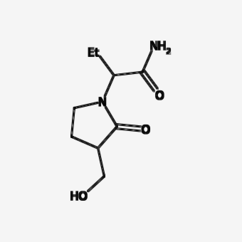 CCC(C(N)=O)N1CCC(CO)C1=O